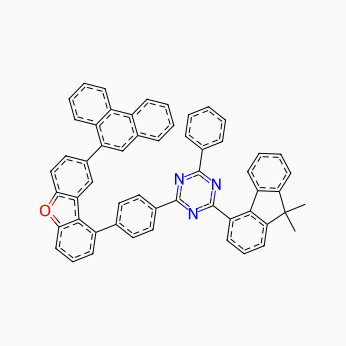 CC1(C)c2ccccc2-c2c(-c3nc(-c4ccccc4)nc(-c4ccc(-c5cccc6oc7ccc(-c8cc9ccccc9c9ccccc89)cc7c56)cc4)n3)cccc21